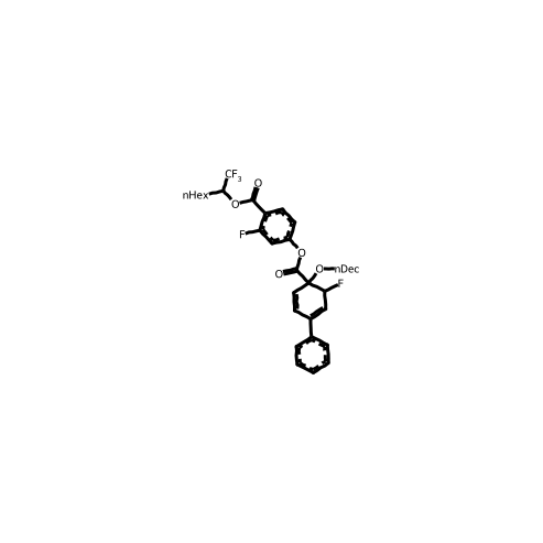 CCCCCCCCCCOC1(C(=O)Oc2ccc(C(=O)OC(CCCCCC)C(F)(F)F)c(F)c2)C=CC(c2ccccc2)=CC1F